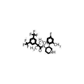 Cc1cc(F)ccc1[C@@H]1CNCC[C@@H]1N(C)C(=O)C(C)(C)c1cc(C(F)(F)F)cc(C(F)(F)F)c1